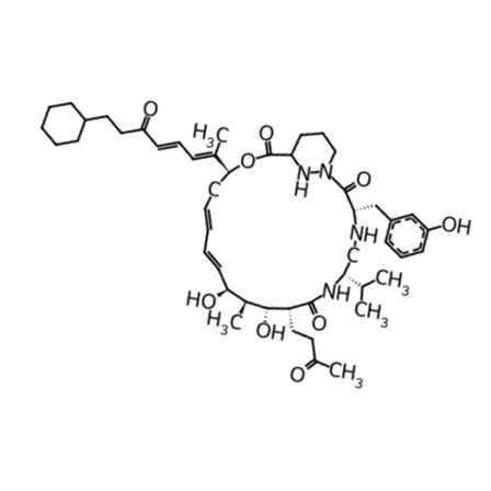 CC(=O)CC[C@H]1C(=O)N[C@@H](C(C)C)CN[C@@H](Cc2cccc(O)c2)C(=O)N2CCCC(N2)C(=O)O[C@H](/C(C)=C/C=C/C(=O)CCC2CCCCC2)C/C=C/C=C/[C@H](O)[C@H](C)[C@H]1O